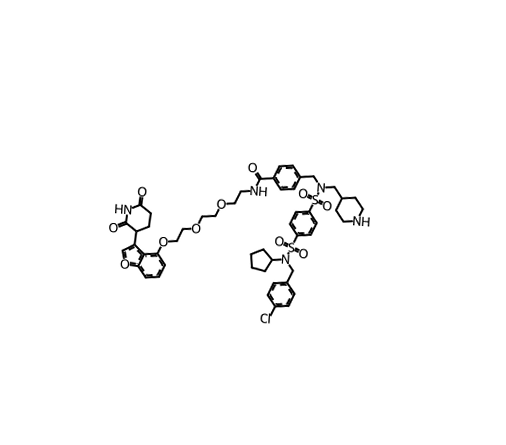 O=C1CCC(c2coc3cccc(OCCOCCOCCNC(=O)c4ccc(CN(CC5CCNCC5)S(=O)(=O)c5ccc(S(=O)(=O)N(Cc6ccc(Cl)cc6)C6CCCC6)cc5)cc4)c23)C(=O)N1